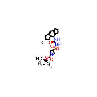 CC(C)(C)OC(=O)N1CC(S(=O)(=O)NC(=O)Nc2c3c(cc4c2CCC4)CCC3)C1.[K]